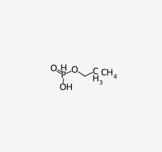 C.CCO[PH](=O)O